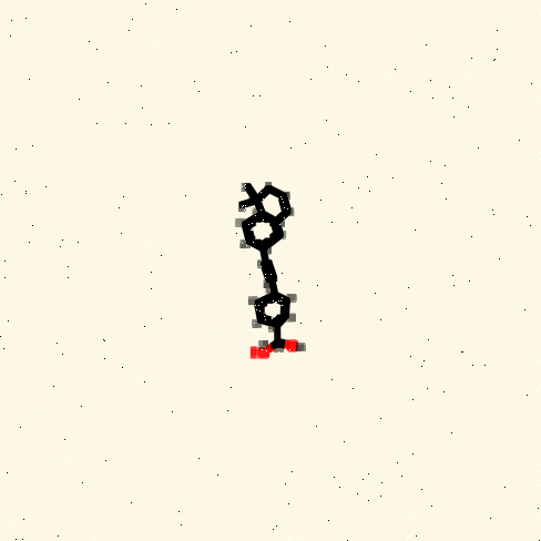 CC1(C)CC=Cc2cc(C#Cc3ccc(C(=O)O)cc3)ccc21